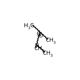 CCCCCCCCC(CCCCCCCC)OC(=O)CCCCCCCN(CC)CCCCCCCC